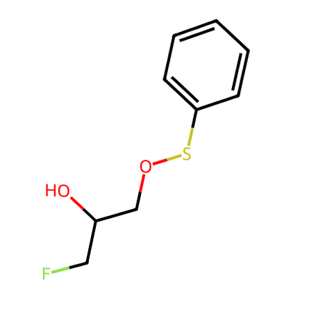 OC(CF)COSc1ccccc1